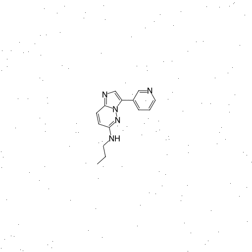 CCCNc1ccc2ncc(-c3cccnc3)n2n1